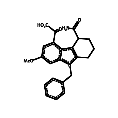 COc1cc(C(=O)C(=O)O)c2c3c(n(Cc4ccccc4)c2c1)CCCC3C(N)=O